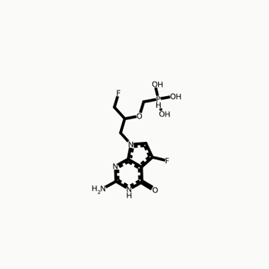 Nc1nc2c(c(F)cn2CC(CF)OC[PH](O)(O)O)c(=O)[nH]1